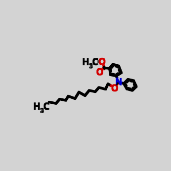 CCCCCCCCCCCCCCON(c1ccccc1)c1cccc(C(=O)OC)c1